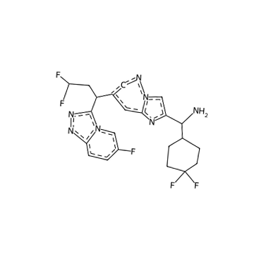 NC(c1cn2ncc(C(CC(F)F)c3nnc4ccc(F)cn34)cc2n1)C1CCC(F)(F)CC1